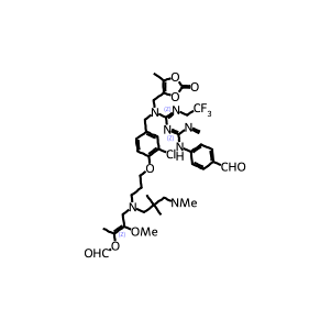 C=N/C(=N\C(=N/CC(F)(F)F)N(Cc1ccc(OCCCN(C/C(OC)=C(\C)OC=O)CC(C)(C)CNC)c(Cl)c1)Cc1oc(=O)oc1C)Nc1ccc(C=O)cc1